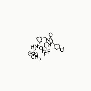 CS(=O)(=O)CCNC(=O)c1cccc(Cn2c(CCCC(F)(F)F)nc(-c3ccc(Cl)cc3)cc2=O)c1